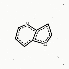 [c]1cc2ncccc2o1